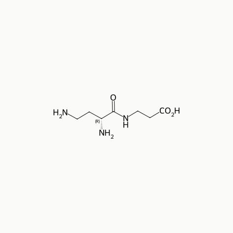 NCC[C@@H](N)C(=O)NCCC(=O)O